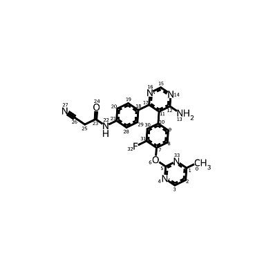 Cc1ccnc(Oc2ccc(-c3c(N)ncnc3-c3ccc(NC(=O)CC#N)cc3)cc2F)n1